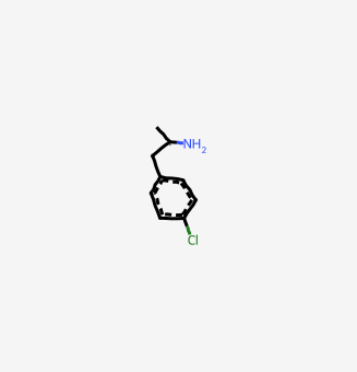 C[C](N)Cc1ccc(Cl)cc1